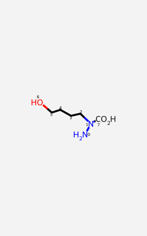 NN(CCCCO)C(=O)O